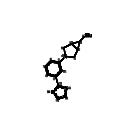 CC(C)(C)C1C2CN(c3cccc(-c4ncco4)c3)CC21